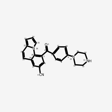 N#Cc1cc(C(=O)c2ccc(N3CCNCC3)cc2)c2c(ccc3cccn32)c1